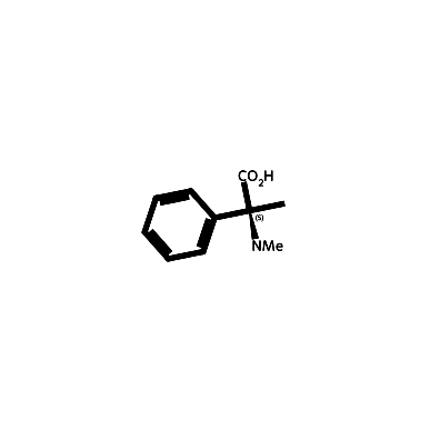 CN[C@](C)(C(=O)O)c1ccccc1